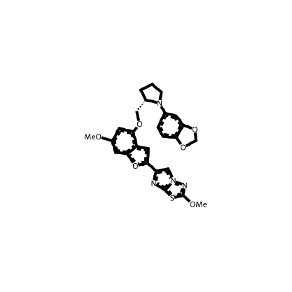 COc1cc(OC[C@@H]2CCCN2c2ccc3c(c2)OCO3)c2cc(-c3cn4nc(OC)sc4n3)oc2c1